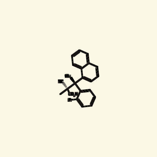 CC(C)c1ccccc1[C@](c1cccc2ccccc12)(C(C)(C)C)[C@@](C)(C#N)C(=O)O